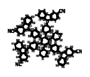 N#Cc1ccc2c(c1)c1ccccc1n2-c1ccc(-c2c(-c3ccncc3)c(-c3ccc(-n4c5ccccc5c5cc(C#N)ccc54)cc3)c(-c3cccnc3)c(-c3ccc(-n4c5ccccc5c5cc(C#N)ccc54)cc3)c2-c2ccc(-n3c4ccccc4c4cc(C#N)ccc43)cc2)cc1